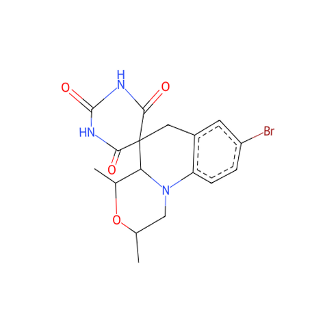 CC1CN2c3ccc(Br)cc3CC3(C(=O)NC(=O)NC3=O)C2C(C)O1